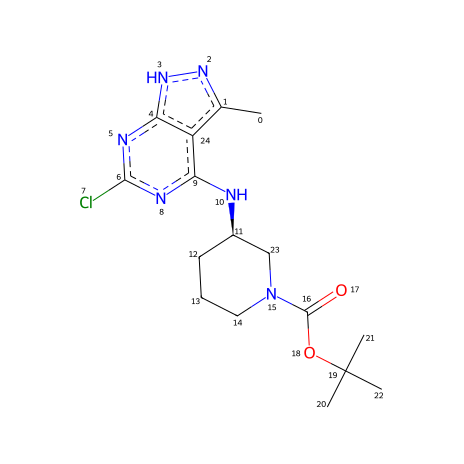 Cc1n[nH]c2nc(Cl)nc(N[C@@H]3CCCN(C(=O)OC(C)(C)C)C3)c12